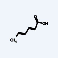 C.CC=CC=CC(=O)O